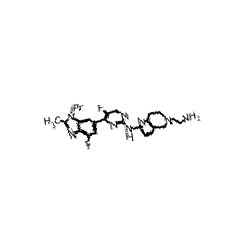 Cc1nc2c(F)cc(-c3nc(Nc4ccc5c(n4)CCN(CCN)C5)ncc3F)cc2n1C(C)C